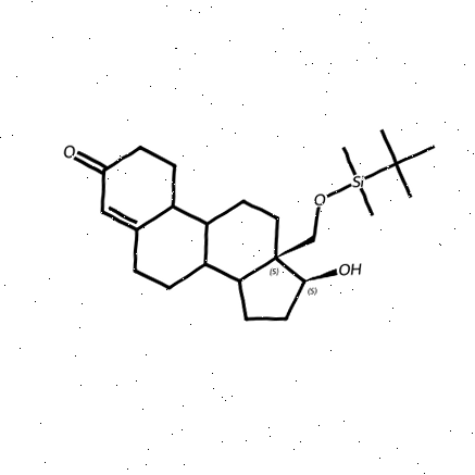 CC(C)(C)[Si](C)(C)OC[C@]12CCC3C4CCC(=O)C=C4CCC3C1CC[C@@H]2O